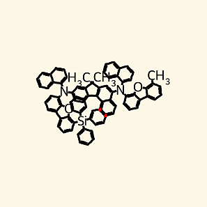 Cc1cccc2c1oc1c(N(c3cccc4ccccc34)c3cc4c(c5ccccc35)-c3ccc(N(c5cccc6ccccc56)c5cccc6c5oc5c([Si](c7ccccc7)(c7ccccc7)c7ccccc7)cccc56)cc3C4(C)C)cccc12